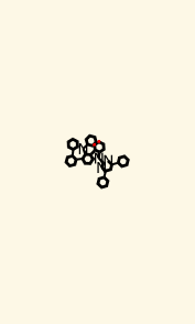 c1ccc(-c2cc(-c3ccccc3)nc(-n3c4ccccc4c4c5c(ccc43)-c3ccccc3-c3ccccc3N5c3ccccc3)n2)cc1